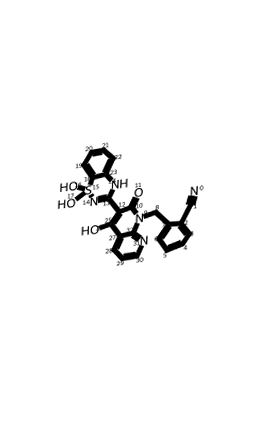 N#Cc1ccccc1Cn1c(=O)c(C2=NS(O)(O)c3ccccc3N2)c(O)c2cccnc21